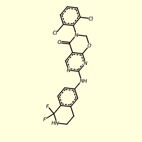 O=C1c2cnc(Nc3ccc4c(c3)CCNC4(F)F)nc2OCN1c1c(Cl)cccc1Cl